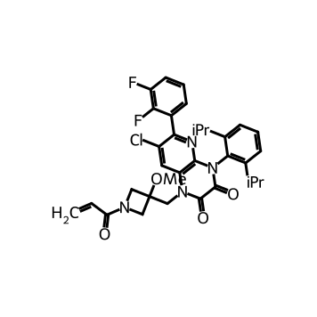 C=CC(=O)N1CC(Cn2c(=O)c(=O)n(-c3c(C(C)C)cccc3C(C)C)c3nc(-c4cccc(F)c4F)c(Cl)cc32)(OC)C1